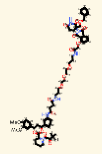 CCC(C)(C)C(=O)C(=O)N1CCCCC1C(=O)OC(CCc1ccc(OC)c(OC)c1)c1cccc(NC(=O)CCC(=O)NCCCOCCOCCOCCCNC(=O)COc2cccc3c2C(=O)N(C2(C(=O)OCc4ccccc4)CCC(=O)NC2=O)C3=O)c1